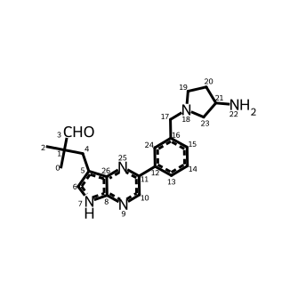 CC(C)(C=O)Cc1c[nH]c2ncc(-c3cccc(CN4CCC(N)C4)c3)nc12